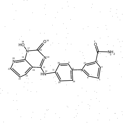 NC(=O)c1cccc(-c2ccc(Nc3nc(=O)n(O)c4ncccc34)cc2)c1